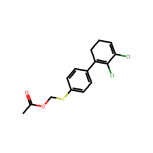 CC(=O)OCSc1ccc(C2=C(Cl)C(Cl)=C[CH]C2)cc1